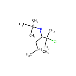 C[SiH](C)CC(N[Si](C)(C)C)[Si](C)(C)Cl